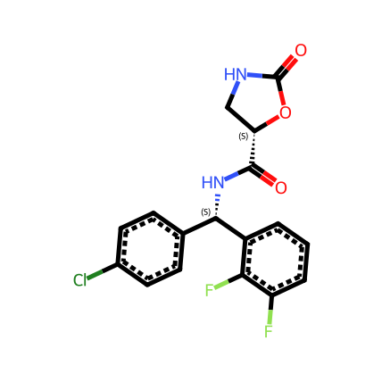 O=C1NC[C@@H](C(=O)N[C@@H](c2ccc(Cl)cc2)c2cccc(F)c2F)O1